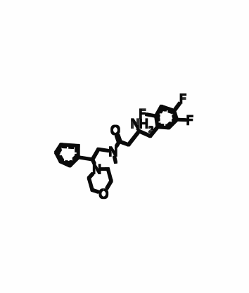 CN(CC(c1ccccc1)N1CCOCC1)C(=O)C[C@H](N)Cc1cc(F)c(F)cc1F